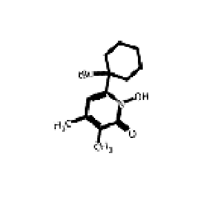 Cc1cc(C2(C(C)(C)C)CCCCC2)n(O)c(=O)c1C